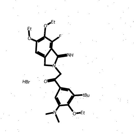 Br.CCOc1cc2c(c(F)c1OCC)C(=N)N(CC(=O)c1cc(N(C)C)c(OCC)c(C(C)(C)C)c1)C2